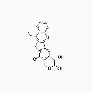 CCc1c2c(nc3ccccc13)-c1cc3c(c(=O)n1C2)COC(O)[C@H]3O